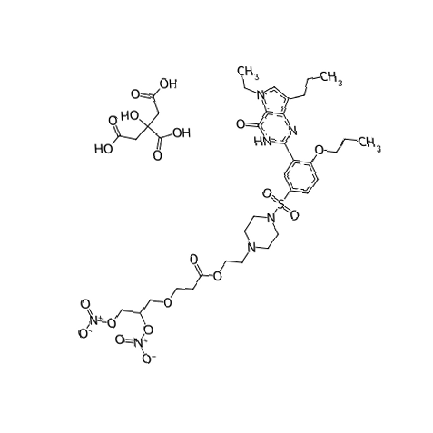 CCCOc1ccc(S(=O)(=O)N2CCN(CCOC(=O)CCOCC(CO[N+](=O)[O-])O[N+](=O)[O-])CC2)cc1-c1nc2c(CCC)cn(CC)c2c(=O)[nH]1.O=C(O)CC(O)(CC(=O)O)C(=O)O